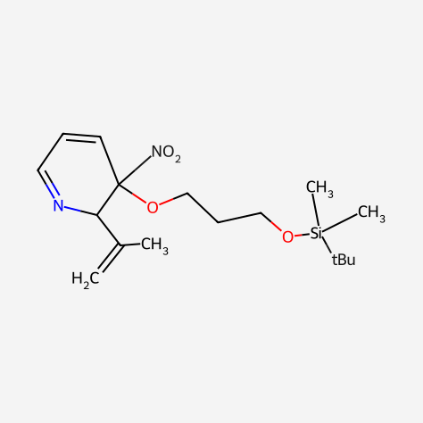 C=C(C)C1N=CC=CC1(OCCCO[Si](C)(C)C(C)(C)C)[N+](=O)[O-]